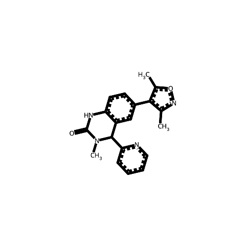 Cc1noc(C)c1-c1ccc2c(c1)C(c1ccccn1)N(C)C(=O)N2